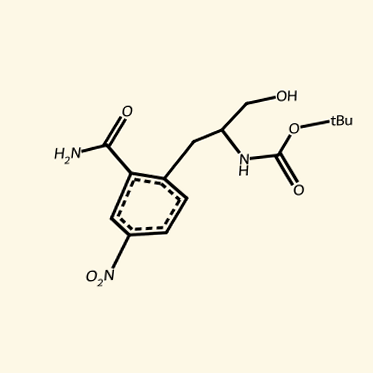 CC(C)(C)OC(=O)NC(CO)Cc1ccc([N+](=O)[O-])cc1C(N)=O